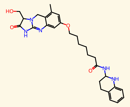 Cc1cc(OCCCCCCC(=O)NC2CCc3ccccc3N2)cc2c1CN1C(=N2)NC(=O)C1CO